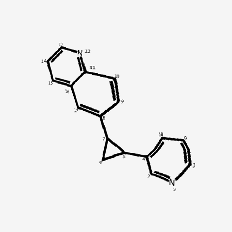 c1cncc(C2CC2c2ccc3ncccc3c2)c1